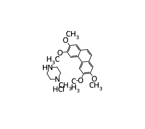 CN1CCNCC1.COc1cc2ccc3cc(OC)c(OC)cc3c2cc1OC.Cl